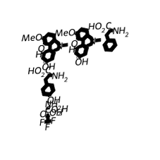 COc1ccc2c3c1O[C@H]1C[C@@H](O)C=C[C@@]31CCN(C)C2.COc1ccc2c3c1O[C@H]1C[C@@H](O)C=C[C@@]31CCN(C)C2.NC(=O)O.NC(Cc1ccc(O)cc1)C(=O)O.NC(Cc1ccccc1)C(=O)O.O=C(O)C(F)(F)F